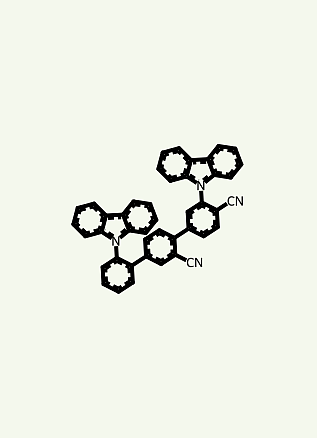 N#Cc1cc(-c2ccccc2-n2c3ccccc3c3ccccc32)ccc1-c1ccc(C#N)c(-n2c3ccccc3c3ccccc32)c1